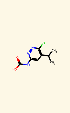 CC(C)c1cc(NC(=O)O)nnc1Cl